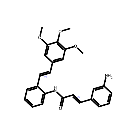 COc1cc(/C=C/c2ccccc2NC(=O)/C=C/c2cccc(N)c2)cc(OC)c1OC